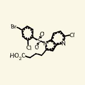 O=C(O)CCCc1cc2nc(Cl)ccc2n1S(=O)(=O)c1ccc(Br)cc1Cl